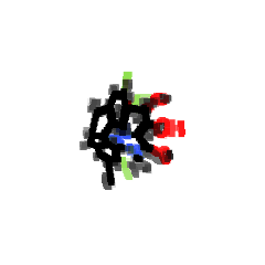 Cc1cc2c(cc1F)C1(N3CN(C)C(=O)c4c(O)c(=O)ccn43)c3cc(F)c(F)cc3CC1C2